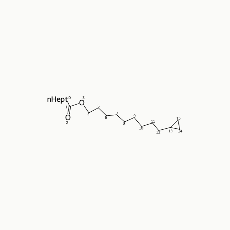 CCCCCCCC(=O)OCCCCCCCCCC1CC1